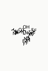 CC(C)c1ncn(CC(=O)N2CCN(c3sc(C(F)(F)F)nc3-c3cnc(C(F)(F)F)nc3)CC2CO)n1